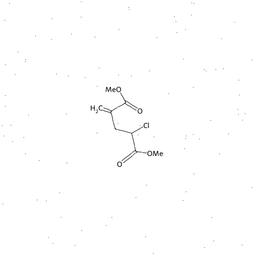 C=C(CC(Cl)C(=O)OC)C(=O)OC